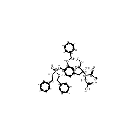 COC(=O)[C@](C)(Cc1ccc(OP(=O)(OCc2ccccc2)OCc2ccccc2)c(OCc2ccccc2)c1)N(NC(=O)O)C(=O)O